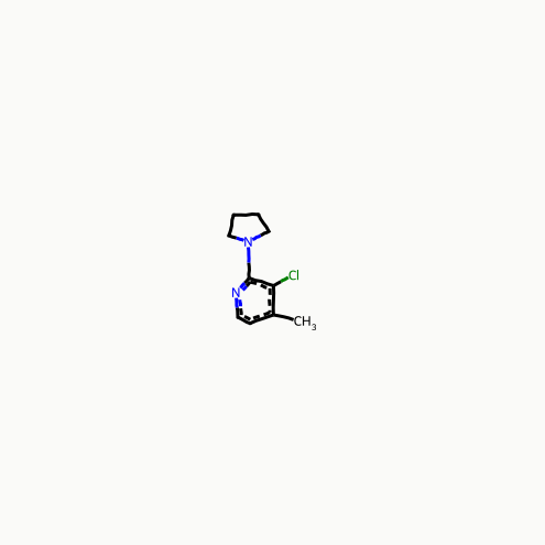 Cc1ccnc(N2CCCC2)c1Cl